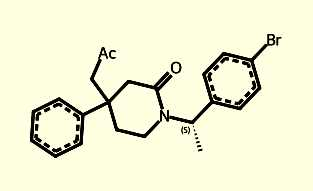 CC(=O)CC1(c2ccccc2)CCN([C@@H](C)c2ccc(Br)cc2)C(=O)C1